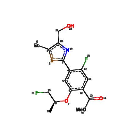 CCc1sc(-c2cc(O[C@@H](C)CF)c(C(=O)OC)cc2F)nc1CO